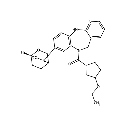 CCOC1CCC(C(=O)N2Cc3cccnc3Nc3ccc(N4C[C@@H]5CCC4CO5)cc32)C1